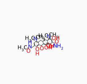 CC(=O)NCc1cc(N(C)C)c2c(c1O)C(=O)C1=C(O)[C@]3(O)C(=O)C(C(N)=O)=C(O)[C@H](N(C)C)C3CC1C2